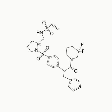 C=CS(=O)(=O)NC[C@H]1CCCN1S(=O)(=O)c1ccc(C(Cc2ccccc2)C(=O)N2CCCC(F)(F)C2)cc1